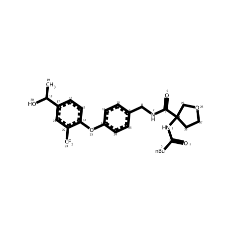 CCCCC(=O)NC1(C(=O)NCc2ccc(Oc3ccc(C(C)O)cc3C(F)(F)F)cc2)CCOC1